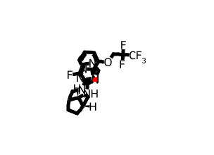 Fc1cncnc1N1CC2CC[C@@H](C1)[C@@H]2Nc1nc2c(OCC(F)(F)C(F)(F)F)cccn2n1